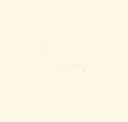 CC(=O)CCC1(C=O)C(=O)c2c(CO)cc(OC(C)CCCc3ccccc3)cc2OC1(C)C